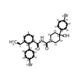 C=Cc1cccc(C(=O)NC(=O)N2CCC(O)(c3ccc(Br)cc3)CC2)c1-c1ccc(Br)cc1